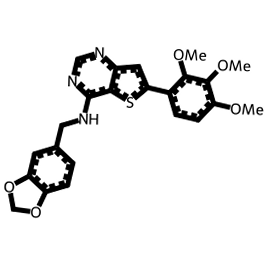 COc1ccc(-c2cc3ncnc(NCc4ccc5c(c4)OCO5)c3s2)c(OC)c1OC